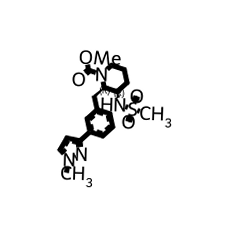 COC(=O)N1CCC[C@@H](NS(C)(=O)=O)[C@H]1Cc1cccc(-c2ccn(C)n2)c1